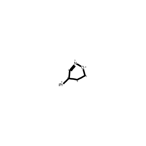 CC(C)C1C=NOCC1